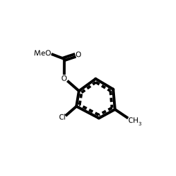 COC(=O)Oc1ccc(C)cc1Cl